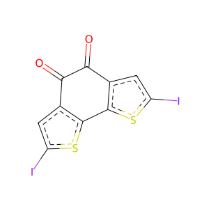 O=C1C(=O)c2cc(I)sc2-c2sc(I)cc21